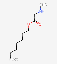 CCCCCCCCCCCCCCOC(=O)CNC=O